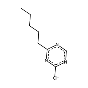 CCCCCc1ncnc(O)n1